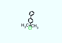 CC(C)(Cl)c1ccc(-c2ccccc2)cc1